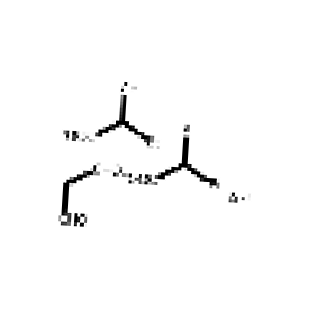 CCC(C(C)=O)C(=O)[O-].CCC(C(C)=O)C(=O)[O-].O=CCC=O.[Zr+2]